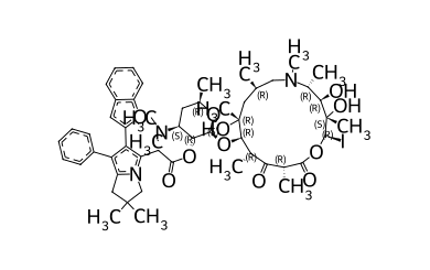 C[C@H]1CN(C)[C@H](C)[C@@H](O)[C@](C)(O)[C@@H](I)OC(=O)[C@H](C)C(=O)[C@H](C)[C@@H](O[C@@H]2O[C@H](C)C[C@H](N(C)C)[C@H]2OC(=O)Cc2c(-c3cc4ccccc4o3)c(-c3ccccc3)c3n2CC(C)(C)C3)[C@](C)(O)C1